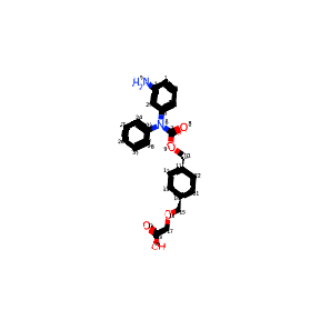 Nc1cccc(N(C(=O)OC[C@H]2CC[C@H](COCC(=O)O)CC2)c2ccccc2)c1